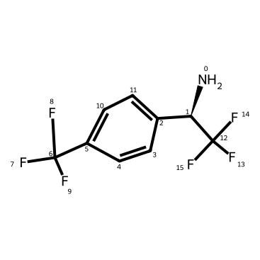 N[C@H](c1ccc(C(F)(F)F)cc1)C(F)(F)F